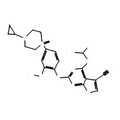 COc1cc(P2(=O)CCN(C3CC3)CC2)ccc1Nc1nc(NC(C)C)c2c(C#N)c[nH]c2n1